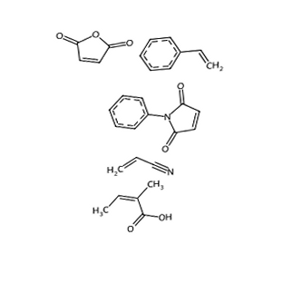 C=CC#N.C=Cc1ccccc1.CC=C(C)C(=O)O.O=C1C=CC(=O)N1c1ccccc1.O=C1C=CC(=O)O1